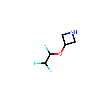 FC(F)C(F)OC1CNC1